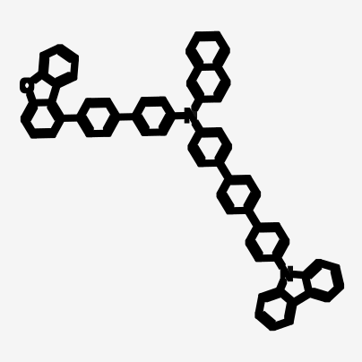 c1ccc2cc(N(c3ccc(-c4ccc(-c5ccc(-n6c7ccccc7c7ccccc76)cc5)cc4)cc3)c3ccc(-c4ccc(-c5cccc6oc7ccccc7c56)cc4)cc3)ccc2c1